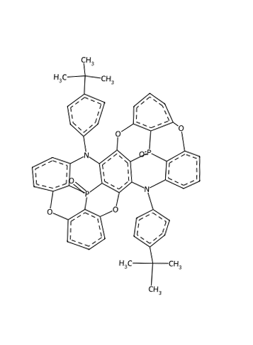 CC(C)(C)c1ccc(N2c3cccc4c3P3(=O)c5c(cccc5Oc5c6c7c(c2c53)Oc2cccc3c2P7(=O)c2c(cccc2N6c2ccc(C(C)(C)C)cc2)O3)O4)cc1